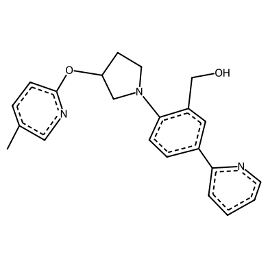 Cc1ccc(OC2CCN(c3ccc(-c4ccccn4)cc3CO)C2)nc1